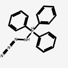 [N-]=[N+]=NN[PH](c1ccccc1)(c1ccccc1)c1ccccc1